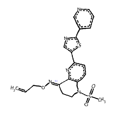 C=CCO/N=C1\CCN(S(C)(=O)=O)c2ccc(-c3cnc(-c4cccnc4)s3)nc21